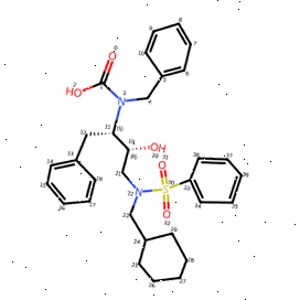 O=C(O)N(Cc1ccccc1)[C@@H](Cc1ccccc1)[C@H](O)CN(CC1CCCCC1)S(=O)(=O)c1ccccc1